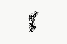 CC(C)(C)OC(=O)N1CCCC1C(=O)OC(C=O)c1ccc2c(c1)C(F)(F)C(F)(F)c1cc(Br)ccc1-2